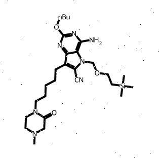 CCCCOc1nc(N)c2c(n1)c(CCCCCN1CCN(C)CC1=O)c(C#N)n2COCC[Si](C)(C)C